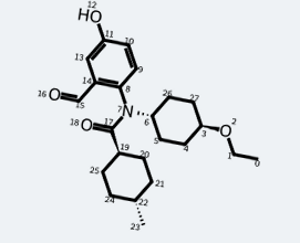 CCO[C@H]1CC[C@H](N(c2ccc(O)cc2C=O)C(=O)[C@H]2CC[C@H](C)CC2)CC1